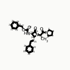 C[C@@H](C(=O)N1CCCC1)N1C(=O)[C@@H](NC(=O)OCc2ccccc2)[C@H]1C=Cc1ccccc1